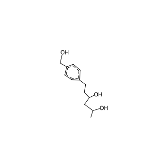 CC(O)CC(O)CCc1ccc(CO)cc1